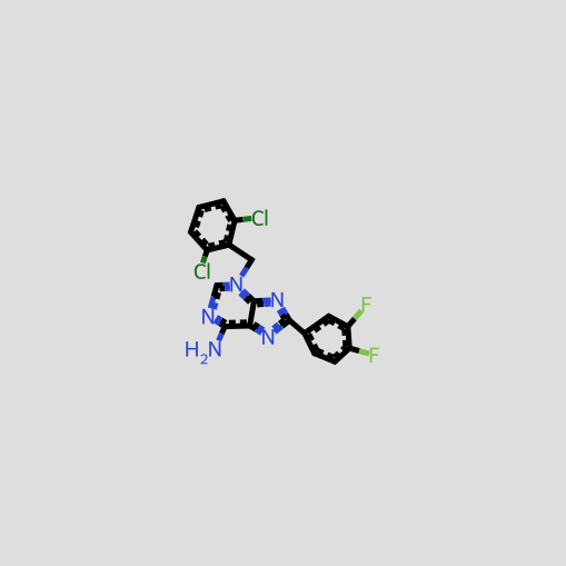 Nc1ncn(Cc2c(Cl)cccc2Cl)c2nc(-c3ccc(F)c(F)c3)nc1-2